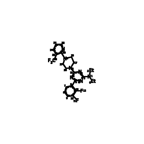 CCN(CC)c1nc(-c2cccc(F)c2F)nc(N2CCN(c3ncccc3C(F)(F)F)CC2)n1